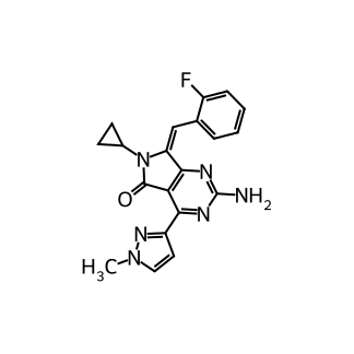 Cn1ccc(-c2nc(N)nc3c2C(=O)N(C2CC2)/C3=C/c2ccccc2F)n1